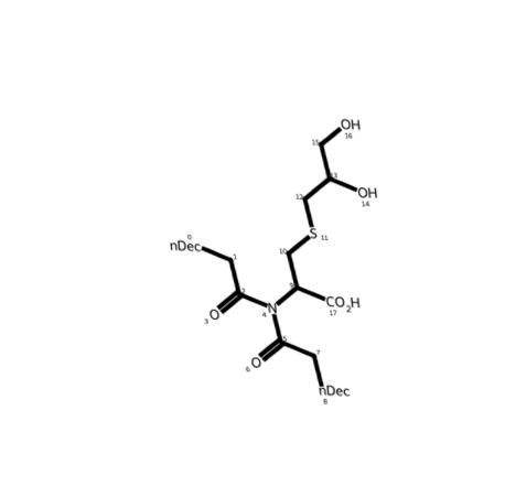 CCCCCCCCCCCC(=O)N(C(=O)CCCCCCCCCCC)C(CSCC(O)CO)C(=O)O